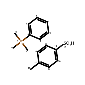 CS(C)(C)c1ccccc1.Cc1ccc(S(=O)(=O)O)cc1